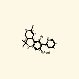 CCCCCc1cc2c(c(O)c1-c1ccccn1)C1C=C(C)CCC1C(C)(C)O2